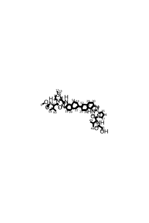 COC(=O)NC(C(=O)N1CC[Si](C)(C)CC1c1nc2ccc3cc(-c4ccc5c(ccc6nc([C@@H]7CCCN7C(=O)C(NC(=O)CO)C(C)C)[nH]c65)c4)ccc3c2[nH]1)C(C)C